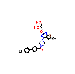 CCc1ccc(-c2ccc(C(=O)N3CCN(c4nc(OC[C@H](O)CO)nc5sc(CC)cc45)CC3)cc2)cc1